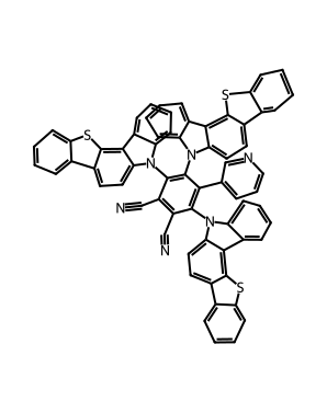 N#Cc1c(C#N)c(-n2c3ccccc3c3c4sc5ccccc5c4ccc32)c(-n2c3ccccc3c3c4sc5ccccc5c4ccc32)c(-c2cccnc2)c1-n1c2ccccc2c2c3sc4ccccc4c3ccc21